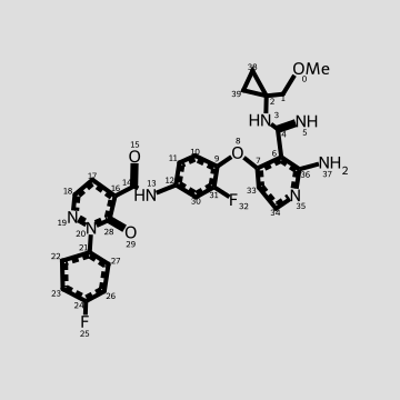 COCC1(NC(=N)c2c(Oc3ccc(NC(=O)c4ccnn(-c5ccc(F)cc5)c4=O)cc3F)ccnc2N)CC1